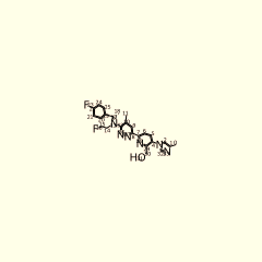 Cc1cn(-c2ccc(-c3cc(C)c(N(CCF)[C@@H](C)c4ccc(F)cc4)nn3)nc2CO)cn1